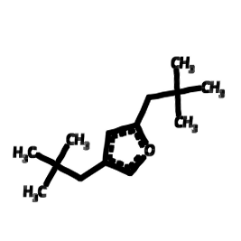 CC(C)(C)Cc1coc(CC(C)(C)C)c1